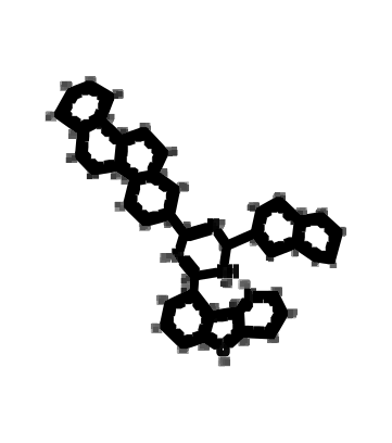 c1ccc2cc(C3N=C(c4ccc5c(ccc6c7ccccc7ccc56)c4)N=C(c4cccc5oc6cccnc6c45)N3)ccc2c1